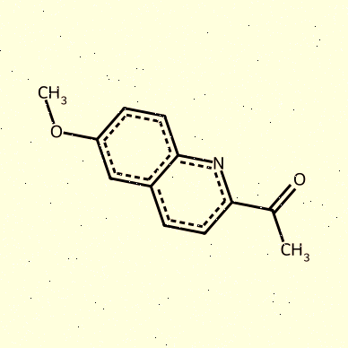 COc1ccc2nc(C(C)=O)ccc2c1